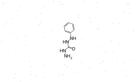 NNC(=O)NNc1ccccc1